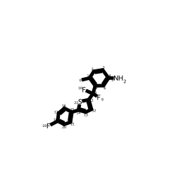 Cc1ccc(N)cc1C(F)(F)c1ccc(-c2ccc(F)cc2)s1